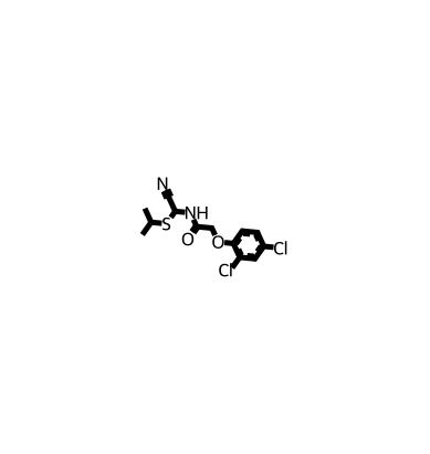 CC(C)SC(C#N)NC(=O)COc1ccc(Cl)cc1Cl